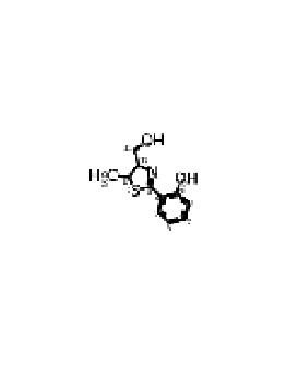 CC1SC(c2ccccc2O)=N[C@@H]1CO